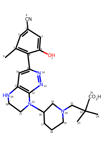 Cc1cc(C#N)cc(O)c1-c1cc2c(nn1)N(C1CCCN(CC(C)(C)C(=O)O)C1)CCN2